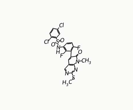 CSc1ncc2cc(-c3c(F)ccc(NS(=O)(=O)c4cc(Cl)ccc4Cl)c3F)c(=O)n(C)c2n1